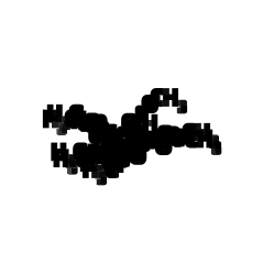 CCCOCCCSCCNC(=O)c1cc(OCC(CSCCOC(=O)c2cc3ccc(N(CC)CC)cc3oc2=O)SCCOC(=O)c2cc3ccc(N(CC)CC)cc3oc2=O)cc(OCC(CSCCOC(=O)c2cc3ccc(N(CC)CC)cc3oc2=O)SCCOC(=O)c2cc3ccc(N(CC)CC)cc3oc2=O)c1